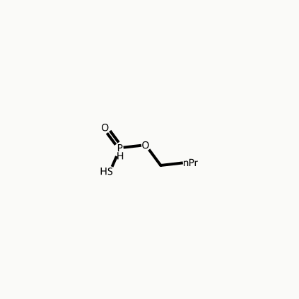 CCCCO[PH](=O)S